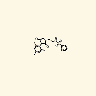 Cc1cc(C)c(C2C(=O)CC(CCNS(=O)(=O)c3cccs3)C2=O)c(C)c1